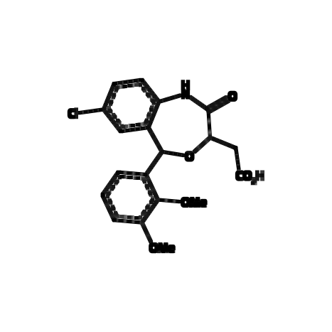 COc1cccc(C2OC(CC(=O)O)C(=O)Nc3ccc(Cl)cc32)c1OC